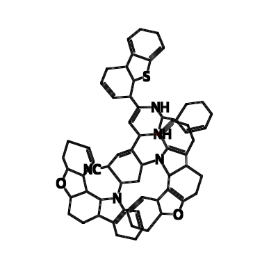 N#CC1C=C(C2C=C(C3C=CCC4C5=CCCC=C5SC34)NC(C3C=CCCC3)N2)C(N2C3=C(CCC=C3)C3CCC4=C(C5C=CCCC5O4)C32)CC1N1C2=C(CCC=C2)C2CCC3OC4CCC=CC4C3C21